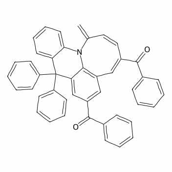 C=C1/C=C\C(C(=O)c2ccccc2)=C/c2cc(C(=O)c3ccccc3)cc3c2N1c1ccccc1C3(c1ccccc1)c1ccccc1